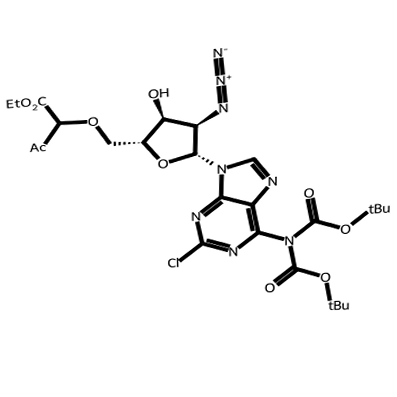 CCOC(=O)C(OC[C@H]1O[C@@H](n2cnc3c(N(C(=O)OC(C)(C)C)C(=O)OC(C)(C)C)nc(Cl)nc32)[C@H](N=[N+]=[N-])[C@@H]1O)C(C)=O